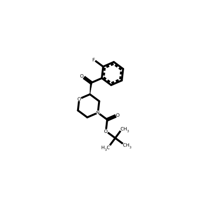 CC(C)(C)OC(=O)N1CCO[C@@H](C(=O)c2ccccc2F)C1